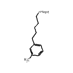 CCCCCCCCCCCCc1cc[c]c(C)c1